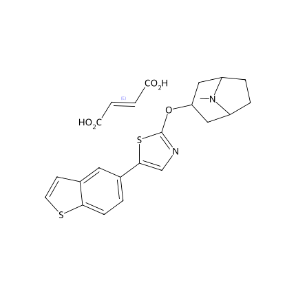 CN1C2CCC1CC(Oc1ncc(-c3ccc4sccc4c3)s1)C2.O=C(O)/C=C/C(=O)O